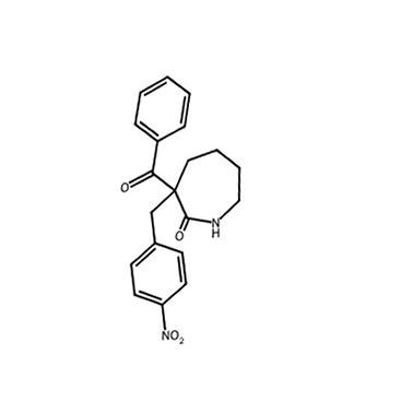 O=C1NCCCCC1(Cc1ccc([N+](=O)[O-])cc1)C(=O)c1ccccc1